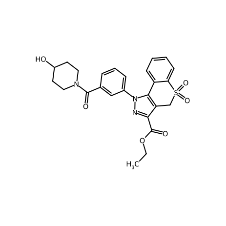 CCOC(=O)c1nn(-c2cccc(C(=O)N3CCC(O)CC3)c2)c2c1CS(=O)(=O)c1ccccc1-2